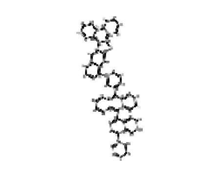 c1ccc(-c2ccc(-c3c4ccccc4c(-c4cccc(-c5cccc6cc7c(cc56)oc5c6ccccc6c6ccccc6c75)c4)c4ccccc34)c3ccccc23)cc1